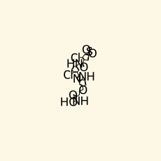 CS(=O)(=O)c1ccc(C(=O)Nc2ccc(Cl)c(-c3nc4cc(OCCC(=O)NO)ccc4[nH]3)c2)c(Cl)c1